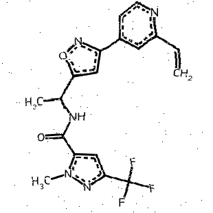 C=Cc1cc(-c2cc(C(C)NC(=O)c3cc(C(F)(F)F)nn3C)on2)ccn1